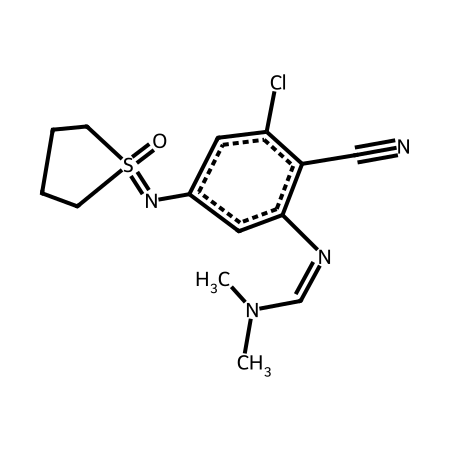 CN(C)/C=N\c1cc(N=S2(=O)CCCC2)cc(Cl)c1C#N